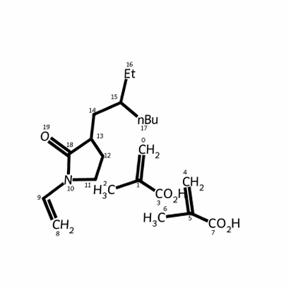 C=C(C)C(=O)O.C=C(C)C(=O)O.C=CN1CCC(CC(CC)CCCC)C1=O